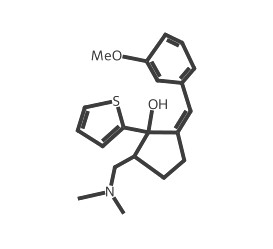 COc1cccc(C=C2CCC(CN(C)C)C2(O)c2cccs2)c1